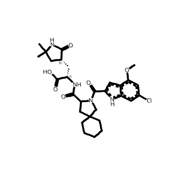 COc1cc(Cl)cc2[nH]c(C(=O)N3CC4(CCCCC4)CC3C(=O)N[C@@H](C[C@@H]3CC(C)(C)NC3=O)C(=O)O)cc12